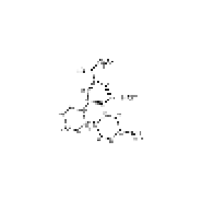 COC(=O)c1cccc(N2CCOCC2N2CCC(N)CC2)c1.Cl